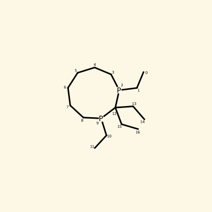 CCP1CCCCCCP(CC)C1(CC)CC